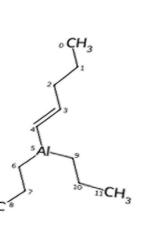 CCC/C=[CH]/[Al]([CH2]CC)[CH2]CC